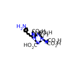 Nc1ccc(CCCC(CN2CCN(CC(=O)O)CCN(CCN(CC(=O)O)CC(=O)O)CCN(CC(=O)O)CC2)N(CC(=O)O)CC(=O)O)cc1